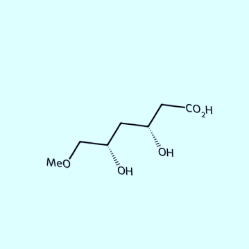 COC[C@@H](O)C[C@@H](O)CC(=O)O